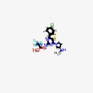 CN[C@H]1CCN(c2nc(N)nc3c2sc2cc(Cl)ccc23)C1.O=C(O)C(F)(F)F